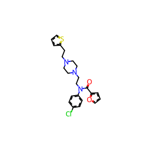 O=C(c1ccco1)N(CCN1CCN(CCc2cccs2)CC1)c1ccc(Cl)cc1